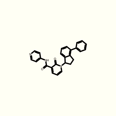 O=C(Nc1ccncc1)c1cccn(C2CCc3c(-c4ccccc4)cccc32)c1=O